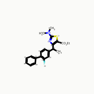 CCOC(=O)c1sc(N(C)C)nc1C(C)c1ccc(-c2ccccc2)c(F)c1